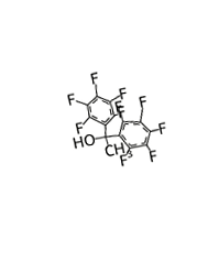 CC(O)(c1c(F)c(F)c(F)c(F)c1F)c1c(F)c(F)c(F)c(F)c1F